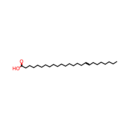 CCCCCCCC=CCCCCCCCCCCCCCCCC(=O)O